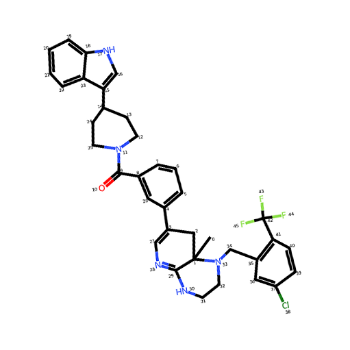 CC12CC(c3cccc(C(=O)N4CCC(c5c[nH]c6ccccc56)CC4)c3)=CN=C1NCCN2Cc1cc(Cl)ccc1C(F)(F)F